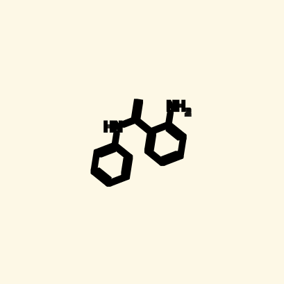 C=C(Nc1ccccc1)c1ccccc1N